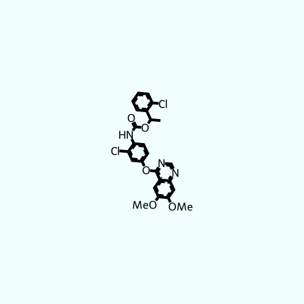 COc1cc2ncnc(Oc3ccc(NC(=O)OC(C)c4ccccc4Cl)c(Cl)c3)c2cc1OC